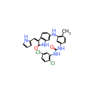 Cc1ccc(NC(=O)Nc2cc(Cl)ccc2Cl)cc1Nc1ccc2c(c1)NC(=O)C2=Cc1ccc[nH]1